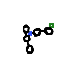 Clc1cccc(-c2ccc(-n3c4ccccc4c4ccc(-c5ccccc5)cc43)cc2)c1